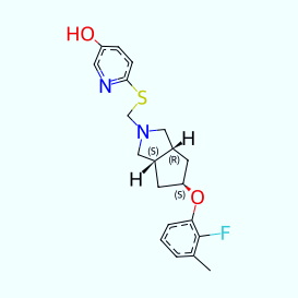 Cc1cccc(O[C@H]2C[C@@H]3CN(CSc4ccc(O)cn4)C[C@@H]3C2)c1F